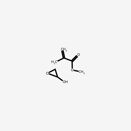 C=C(C)C(=O)OC.OC1CO1